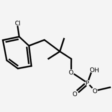 COP(=O)(O)OCC(C)(C)Cc1ccccc1Cl